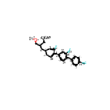 CCOCC(COC)CC1C=C(F)C(c2ccc(-c3ccc(F)cc3)c(F)c2)=CC1